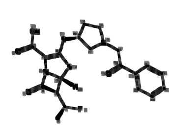 C[C@H](F)[C@H]1C(=O)N2C(C(=O)O)=C(S[C@H]3CCN(CC(=O)c4ccccc4)C3)S[C@H]12